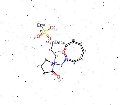 CCCCCCCCCCCC[N+]1(Cn2cccccco2)CCCC1=O.CCS(=O)(=O)[O-]